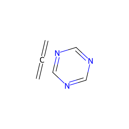 C=C=C.c1ncncn1